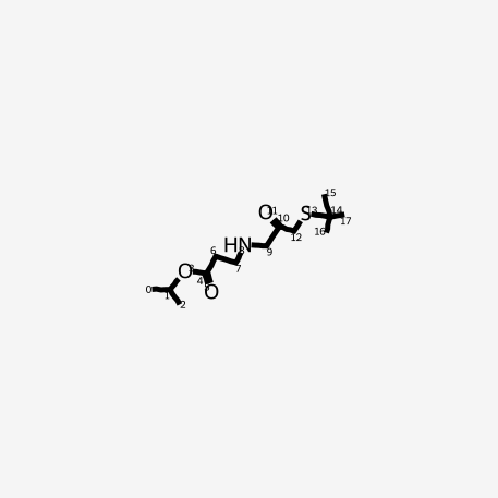 CC(C)OC(=O)CCNCC(=O)CSC(C)(C)C